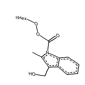 CCCCCCOOC(=O)n1c(C)c(CO)c2ccccc21